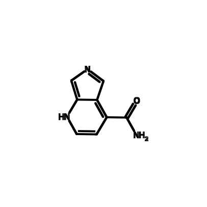 NC(=O)c1cc[nH]c2cncc1-2